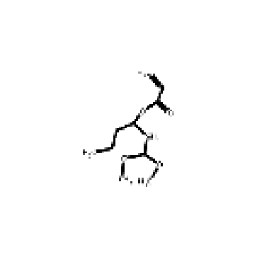 C=CC(=O)OC(CCC)[SiH2]C(OC)OC